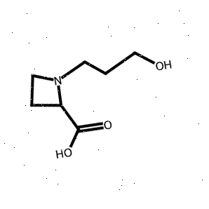 O=C(O)C1CCN1CCCO